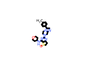 Cc1ccc(-c2cnc3n2CCN(c2nc4c(c(NC5CCOCC5)n2)[S+]([O-])CC4)C3)cc1